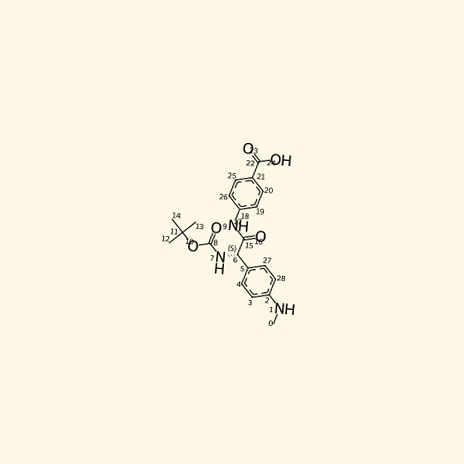 CNc1ccc([C@H](NC(=O)OC(C)(C)C)C(=O)Nc2ccc(C(=O)O)cc2)cc1